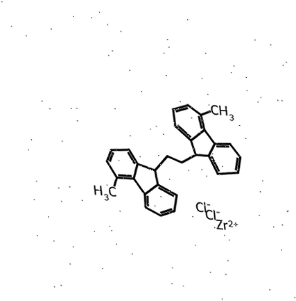 Cc1cccc2c1-c1ccccc1C2CCC1c2ccccc2-c2c(C)cccc21.[Cl-].[Cl-].[Zr+2]